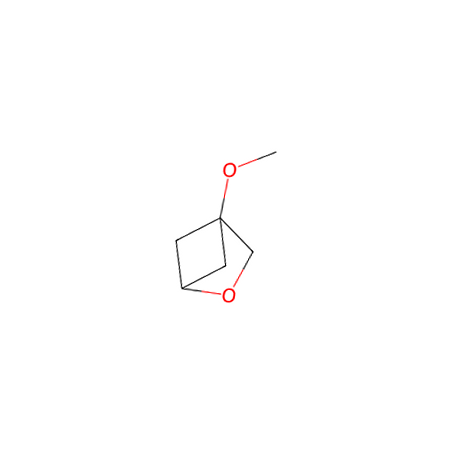 COC12COC(C1)C2